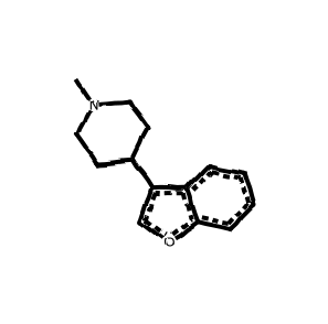 CN1CCC(c2coc3ccccc23)CC1